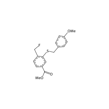 COC(=O)c1ccc(CF)c(SCc2ccc(OC)cc2)c1